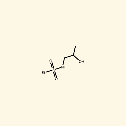 [CH2]C(O)CNS(=O)(=O)CC